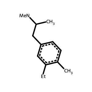 CCc1cc(CC(C)NC)ccc1C